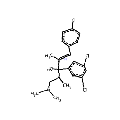 C/C(=C\c1ccc(Cl)cc1)C(O)(c1cc(Cl)cc(Cl)c1)C(C)CN(C)C